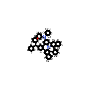 c1ccc(C(c2ccccc2)c2ccc3c(c2)-c2cc(N(c4ccccc4)c4ccccc4)ccc2N2c4ccc5ccccc5c4-c4ccccc4-c4c2c-3cc2ccccc42)cc1